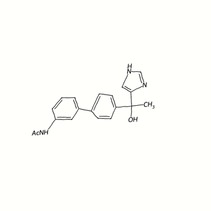 CC(=O)Nc1cccc(-c2ccc(C(C)(O)c3c[nH]cn3)cc2)c1